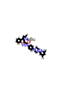 CCCCn1c(C)cc(-c2ccccc2)c1C(=O)C(=O)Nc1ccc(N2CCN(c3cc(C)cc(C)n3)CC2)cc1